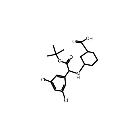 CC(C)(C)OC(=O)C(NC1CCCC(C(=O)O)C1)c1cc(Cl)cc(Cl)c1